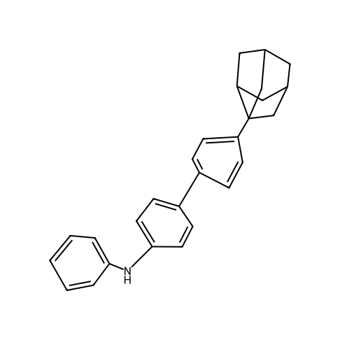 c1ccc(Nc2ccc(-c3ccc(C45CC6CC(CC4C6)C5)cc3)cc2)cc1